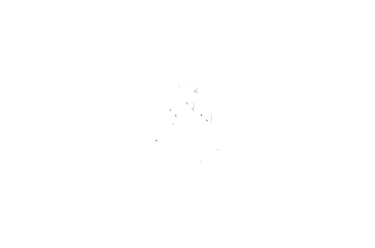 CO[Si](C)(OC)C1=CC([Si](C)(OC)OC)=NN([Si](C)(OC)OC)N1